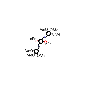 CCCOc1cc(/C=C/c2cc(OC)c(OC)c(OC)c2)c(OCCC)cc1/C=C/c1cc(OC)c(OC)c(OC)c1